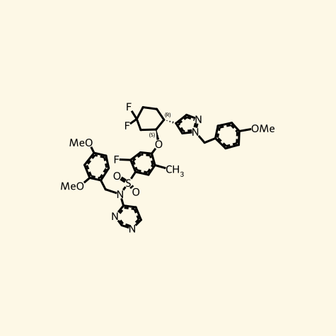 COc1ccc(Cn2cc([C@H]3CCC(F)(F)C[C@@H]3Oc3cc(F)c(S(=O)(=O)N(Cc4ccc(OC)cc4OC)c4ccncn4)cc3C)cn2)cc1